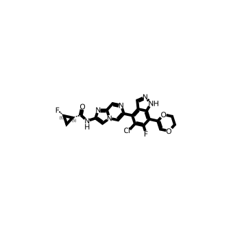 O=C(Nc1cn2cc(-c3c(Cl)c(F)c(C4=COCCO4)c4[nH]ncc34)ncc2n1)[C@@H]1C[C@@H]1F